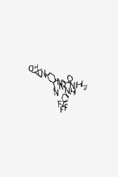 N#CC1CC(N2CC3C(CO)C3C2)CCC1n1cc(C(N)=O)c(Nc2ccc(C(F)(F)F)cc2)n1